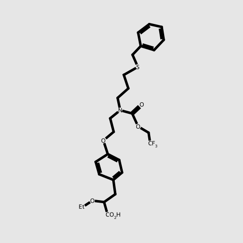 CCOC(Cc1ccc(OCCN(CCCSCc2ccccc2)C(=O)OCC(F)(F)F)cc1)C(=O)O